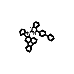 c1ccc(-c2ccc(-c3nc(-n4c5ccccc5c5cc6c7c(cccc7c54)-c4ccccc4-6)nc4ccccc34)cc2)cc1